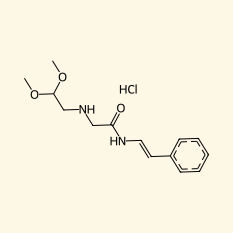 COC(CNCC(=O)NC=Cc1ccccc1)OC.Cl